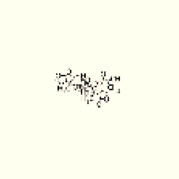 C=C(C)C(=O)OC[C@@]12O[C@@H]3COC(C)(C4CCOC4=O)O[C@H]3[C@@H]1OC(C)(C1CCOC1=O)O2